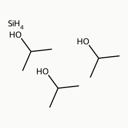 CC(C)O.CC(C)O.CC(C)O.[SiH4]